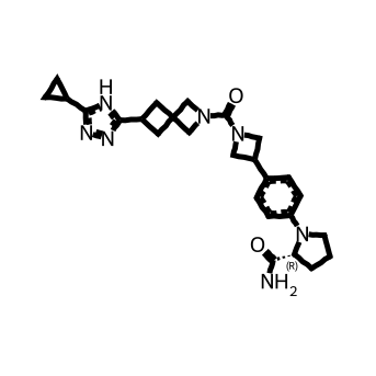 NC(=O)[C@H]1CCCN1c1ccc(C2CN(C(=O)N3CC4(CC(c5nnc(C6CC6)[nH]5)C4)C3)C2)cc1